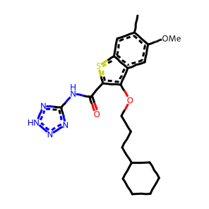 COc1cc2c(OCCCC3CCCCC3)c(C(=O)Nc3nn[nH]n3)sc2cc1C